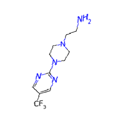 NCCN1CCN(c2ncc(C(F)(F)F)cn2)CC1